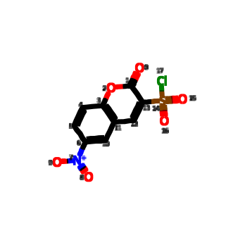 O=c1oc2ccc([N+](=O)[O-])cc2cc1S(=O)(=O)Cl